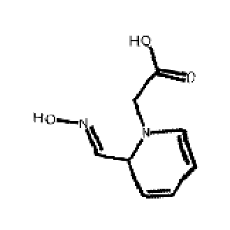 O=C(O)CN1C=CC=CC1C=NO